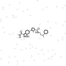 CNC(=O)c1n[nH]c2cc(-c3ccc(C(=O)NCCC(C)c4ccccc4)s3)ccc12